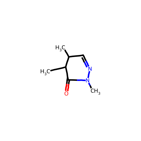 CC1C=NN(C)C(=O)C1C